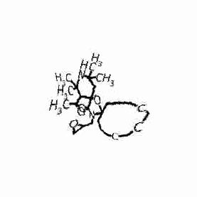 CC(=O)C1C(C)(C)NC(C)(C)CC12OC1(CCCCCCCCCCC1)N(CC1CO1)C2=O